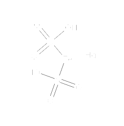 O=S(=O)(O)[Te]S(=O)(=O)O.[Hg]